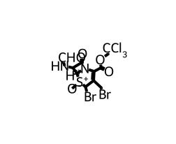 O=CNC1C(=O)N2C(C(=O)OCC(Cl)(Cl)Cl)=C(CBr)C(Br)[S+]([O-])[C@@H]12